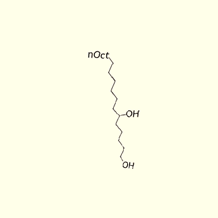 CCCCCCCCCCCCCCC(O)CCCCCO